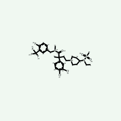 CCN(C1CCN(CCC(C)(C(=O)N(C)Cc2ccc(F)c(C(F)(F)F)c2)c2ccc(Cl)c(Cl)c2)CC1)S(C)(=O)=O